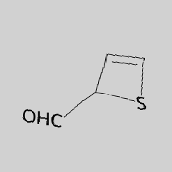 O=CC1C=CS1